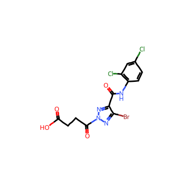 O=C(O)CCC(=O)n1nc(Br)c(C(=O)Nc2ccc(Cl)cc2Cl)n1